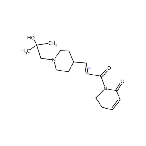 CC(C)(O)CN1CCC(/C=C/C(=O)N2CCC=CC2=O)CC1